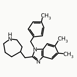 Cc1ccc(Cn2c(CC3CCCNCC3)nc3cc(C)c(C)cc32)cc1